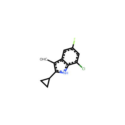 O=Cc1c(C2CC2)[nH]c2c(Cl)cc(F)cc12